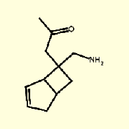 CC(=O)CC1(CN)CC2CC=CC21